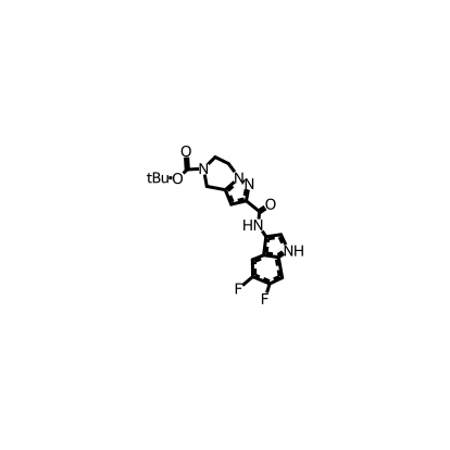 CC(C)(C)OC(=O)N1CCn2nc(C(=O)Nc3c[nH]c4cc(F)c(F)cc34)cc2C1